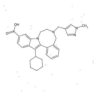 Cn1cc(CN2CCn3c(c(C4CCCCC4)c4ccc(C(=O)O)cc43)-c3ccccc3C2)cn1